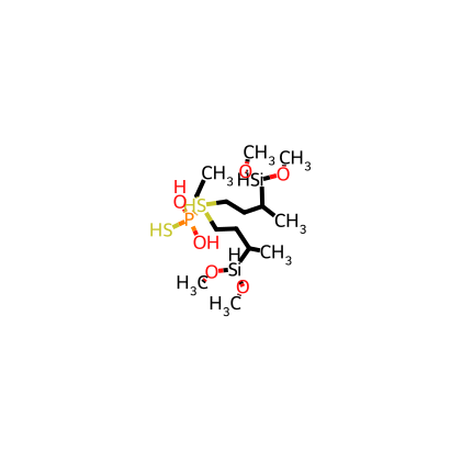 CC[SH](CCC(C)[SiH](OC)OC)(CCC(C)[SiH](OC)OC)=P(O)(O)S